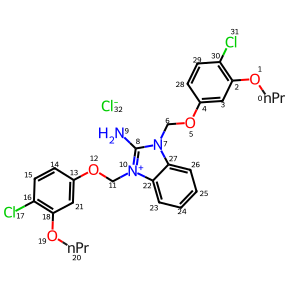 CCCOc1cc(OCn2c(N)[n+](COc3ccc(Cl)c(OCCC)c3)c3ccccc32)ccc1Cl.[Cl-]